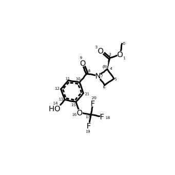 COC(=O)[C@H]1CCN1C(=O)c1ccc(O)c(OC(F)(F)F)c1